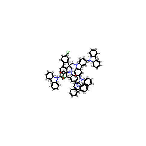 Brc1ccc2c(c1)C(Cn1c3ccc(-n4c5ccccc5c5ccccc54)cc3c3cc(-n4c5ccccc5c5ccccc54)ccc31)(Cn1c3ccc(-n4c5ccccc5c5ccccc54)cc3c3cc(-n4c5ccccc5c5ccccc54)ccc31)c1cc(Br)ccc1-2